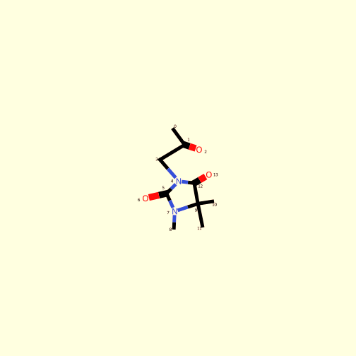 CC(=O)CN1C(=O)N(C)C(C)(C)C1=O